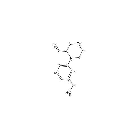 O=CC1COCCN1c1cccc(CO)c1